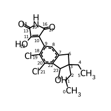 CCCC1(CC)Cc2cc(C3=C(O)C(=O)NC3=O)c(Cl)c(Cl)c2C1O